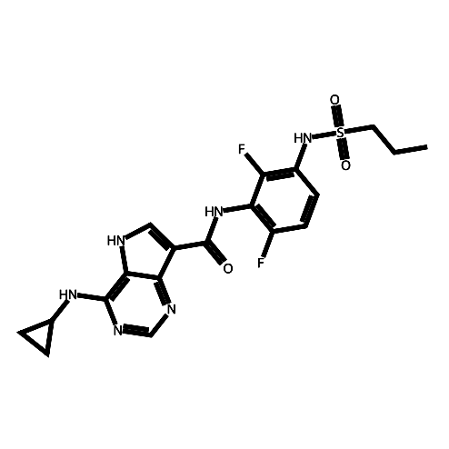 CCCS(=O)(=O)Nc1ccc(F)c(NC(=O)c2c[nH]c3c(NC4CC4)ncnc23)c1F